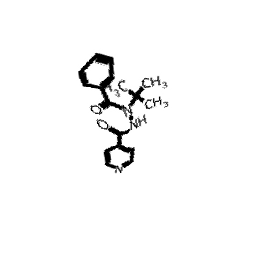 CC(C)(C)N(NC(=O)c1ccncc1)C(=O)c1ccccc1